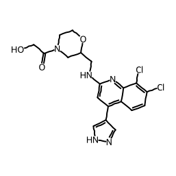 O=C(CO)N1CCOC(CNc2cc(-c3cn[nH]c3)c3ccc(Cl)c(Cl)c3n2)C1